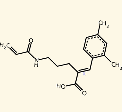 C=CC(=O)NCCC/C(=C\c1ccc(C)cc1C)C(=O)O